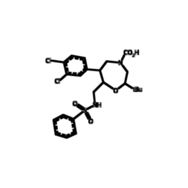 CC(C)(C)C1CN(C(=O)O)CC(c2ccc(Cl)c(Cl)c2)C(CNS(=O)(=O)c2ccccc2)O1